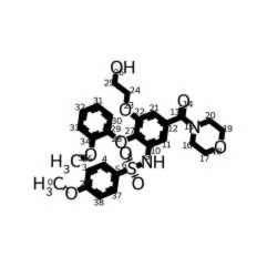 COc1ccc(S(=O)(=O)Nc2cc(C(=O)N3CCOCC3)cc(OCCO)c2Oc2ccccc2OC)cc1